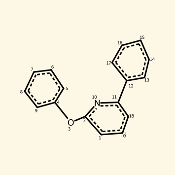 [c]1cc(Oc2ccccc2)nc(-c2ccccc2)c1